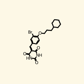 O=C1NC(=O)C(=Cc2ccc(OCCCC3CCCCC3)c(Br)c2)C(=O)N1